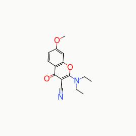 CCN(CC)c1oc2cc(OC)ccc2c(=O)c1C#N